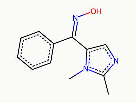 Cc1ncc(C(=NO)c2ccccc2)n1C